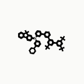 CC(C)(C)c1cc(-c2cccc(-c3cccc(N(c4cccc(C5CCCCC5)c4)c4ccc5c(c4)C(C)(C)c4ccccc4-5)c3)c2)cc(-c2cc(C(C)(C)C)cc(C(C)(C)C)c2)c1